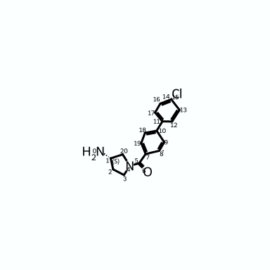 N[C@H]1CCN(C(=O)c2[c]cc(-c3ccc(Cl)cc3)cc2)C1